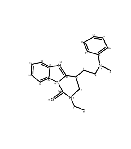 CCN1CC(CCN(C)c2ccccc2)c2nc3ccccc3n2C1=O